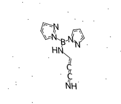 N=C=C=CNB(n1cccn1)n1cccn1